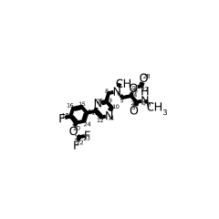 CNC(=O)C(CN(C)Cc1cncc(-c2ccc(F)c(OC(F)F)c2)n1)OC=O